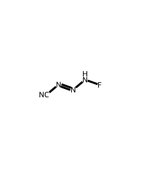 N#C/N=N/NF